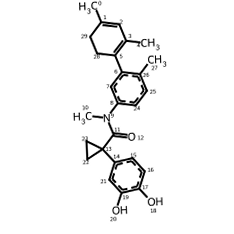 CC1=CC(C)=C(c2cc(N(C)C(=O)C3(c4ccc(O)c(O)c4)CC3)ccc2C)CC1